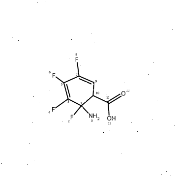 NC1(F)C(F)=C(F)C(F)=CC1C(=O)O